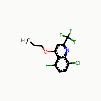 CCCOc1cc(C(F)(F)F)nc2c(Cl)ccc(F)c12